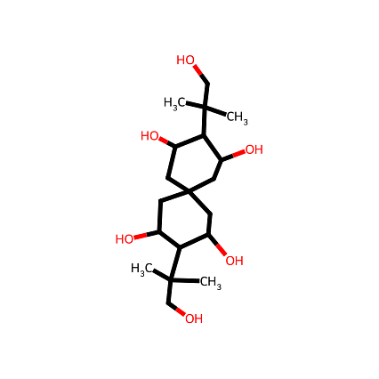 CC(C)(CO)C1C(O)CC2(CC1O)CC(O)C(C(C)(C)CO)C(O)C2